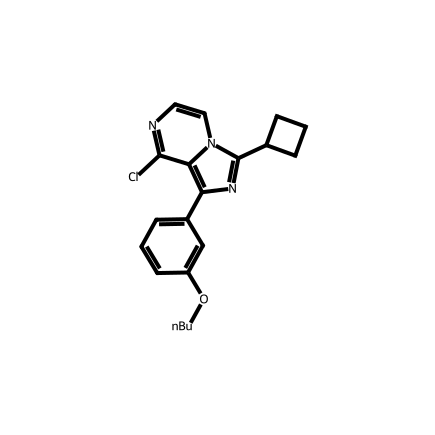 CCCCOc1cccc(-c2nc(C3CCC3)n3ccnc(Cl)c23)c1